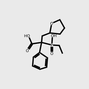 CCP(=O)(O)C(CC1CCCO1)(C(=O)O)c1ccccc1